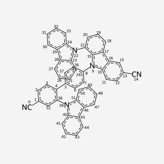 N#Cc1ccc(-c2ccc(-n3c4ccc(C#N)cc4c4cccc(-n5c6ccccc6c6ccccc65)c43)cc2)c(-n2c3ccccc3c3ccccc32)c1